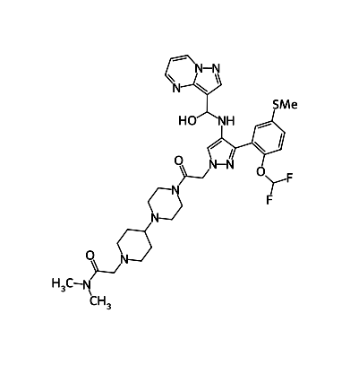 CSc1ccc(OC(F)F)c(-c2nn(CC(=O)N3CCN(C4CCN(CC(=O)N(C)C)CC4)CC3)cc2NC(O)c2cnn3cccnc23)c1